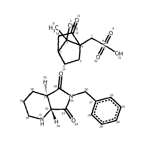 CC1(C)C2CCC1(CS(=O)(=O)O)C(=O)C2.O=C1[C@@H]2CCCN[C@H]2C(=O)N1Cc1ccccc1